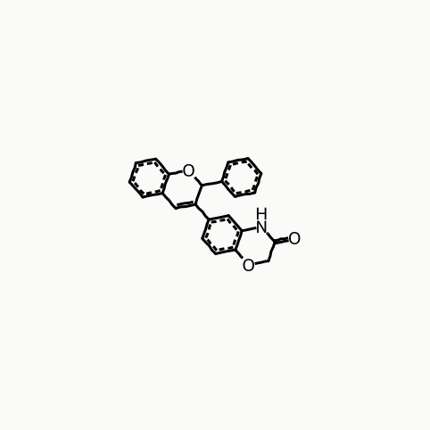 O=C1COc2ccc(C3=Cc4ccccc4OC3c3ccccc3)cc2N1